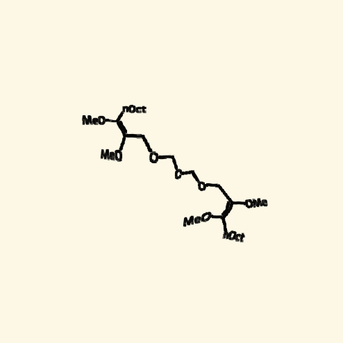 CCCCCCCCC(OC)=C(COCOCOCC(OC)=C(CCCCCCCC)OC)OC